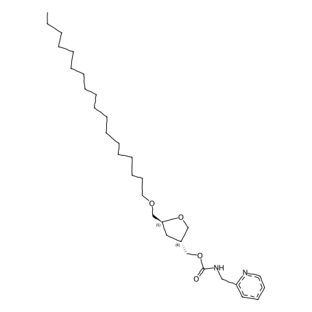 CCCCCCCCCCCCCCCCCCOC[C@@H]1C[C@@H](COC(=O)NCc2ccccn2)CO1